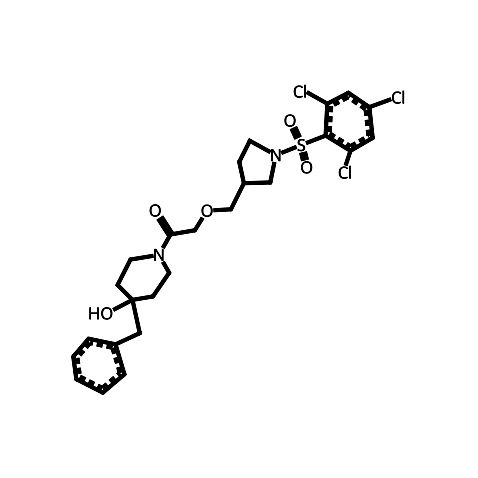 O=C(COCC1CCN(S(=O)(=O)c2c(Cl)cc(Cl)cc2Cl)C1)N1CCC(O)(Cc2ccccc2)CC1